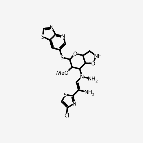 COC1C(Sc2cnc3ncsc3c2)OC2CNOC2C1N(N)/C=C(\N)c1nc(Cl)cs1